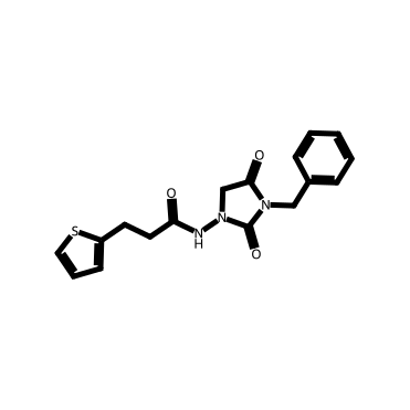 O=C(CCc1cccs1)NN1CC(=O)N(Cc2ccccc2)C1=O